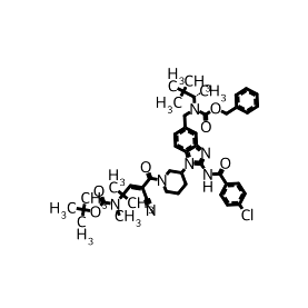 C[C@H](N(Cc1ccc2c(c1)nc(NC(=O)c1ccc(Cl)cc1)n2C1CCCN(C(=O)C(C#N)=CC(C)(C)N(C)C(=O)OC(C)(C)C)C1)C(=O)OCc1ccccc1)C(C)(C)C